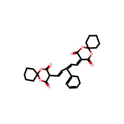 O=C1OC2(CCCCC2)OC(=O)C1=C/C=C(/C=C/C1C(=O)OC2(CCCCC2)OC1=O)C1=CC=CCC1